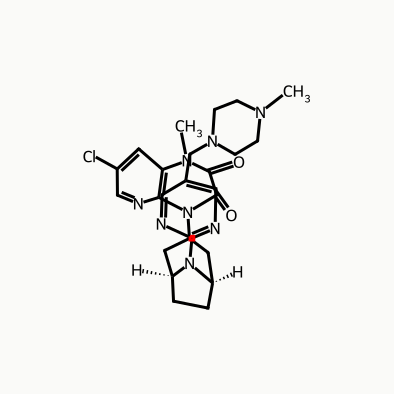 CN1CCN(Cc2cnc(N3[C@@H]4CC[C@H]3CC(n3c(=O)c(=O)n(C)c5cc(Cl)cnc53)C4)nc2)CC1